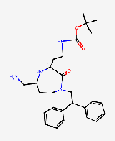 CC(C)(C)OC(=O)NCC[C@@H]1NC(CN)CCN(CC(c2ccccc2)c2ccccc2)C1=O